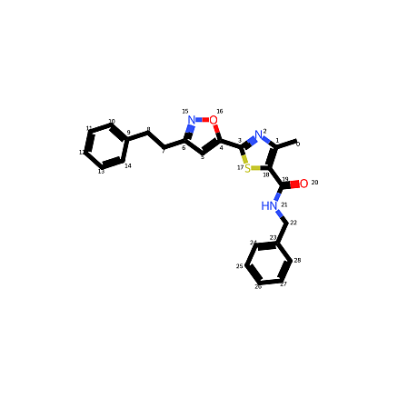 Cc1nc(-c2cc(CCc3ccccc3)no2)sc1C(=O)NCc1ccccc1